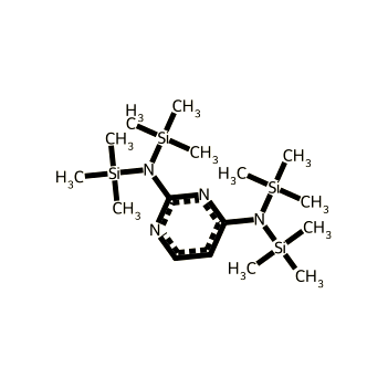 C[Si](C)(C)N(c1ccnc(N([Si](C)(C)C)[Si](C)(C)C)n1)[Si](C)(C)C